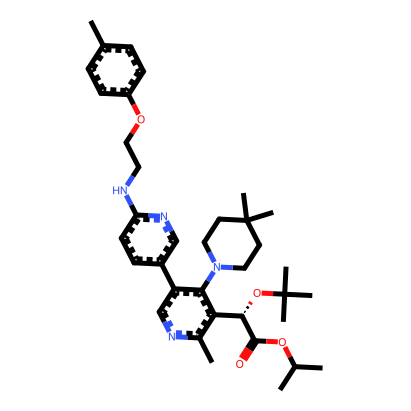 Cc1ccc(OCCNc2ccc(-c3cnc(C)c([C@H](OC(C)(C)C)C(=O)OC(C)C)c3N3CCC(C)(C)CC3)cn2)cc1